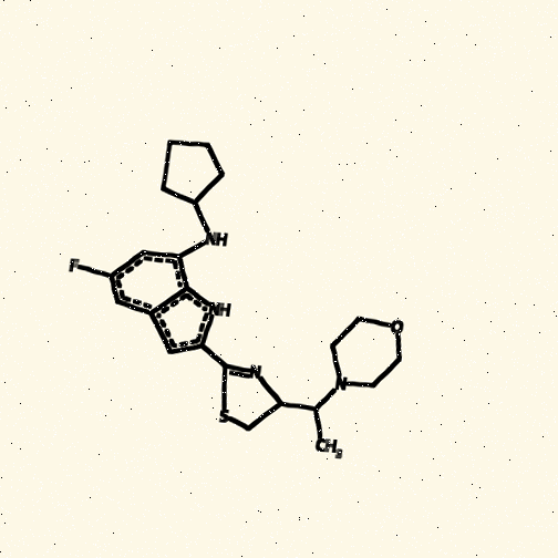 CC(C1CSC(c2cc3cc(F)cc(NC4CCCC4)c3[nH]2)=N1)N1CCOCC1